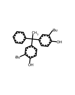 CCC(C)c1cc(C(C)(c2ccccc2)c2ccc(O)c(C(C)CC)c2)ccc1O